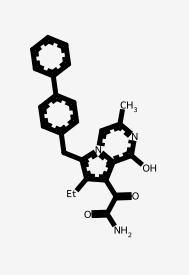 CCc1c(C(=O)C(N)=O)c2c(O)nc(C)cn2c1Cc1ccc(-c2ccccc2)cc1